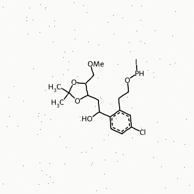 COCC1OC(C)(C)OC1CC(O)c1ccc(Cl)cc1CCOPI